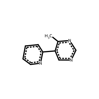 Cc1ncncc1-c1ccccn1